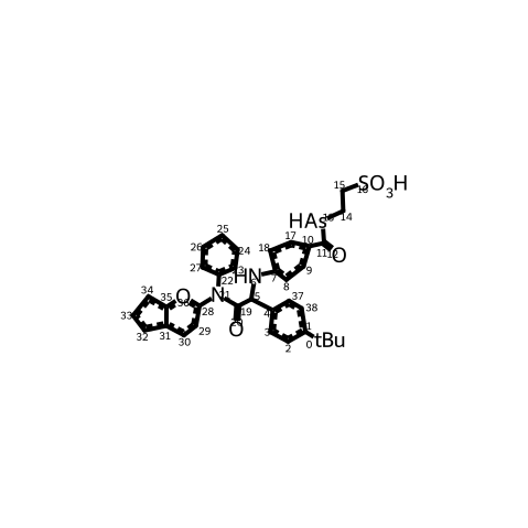 CC(C)(C)c1ccc(C(Nc2ccc(C(=O)[AsH]CCS(=O)(=O)O)cc2)C(=O)N(c2ccccc2)c2ccc3cccc-3o2)cc1